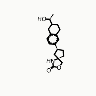 C[C@H](O)C1CCc2cc([C@H]3CC[C@]4(COC(=O)N4)C3)ccc2C1